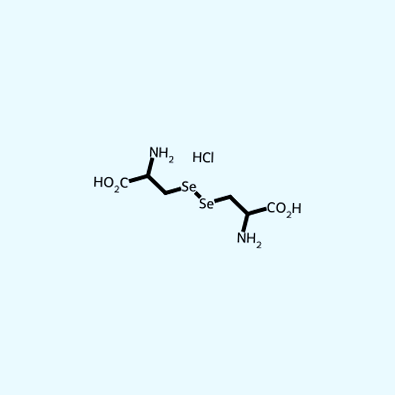 Cl.NC(C[Se][Se]CC(N)C(=O)O)C(=O)O